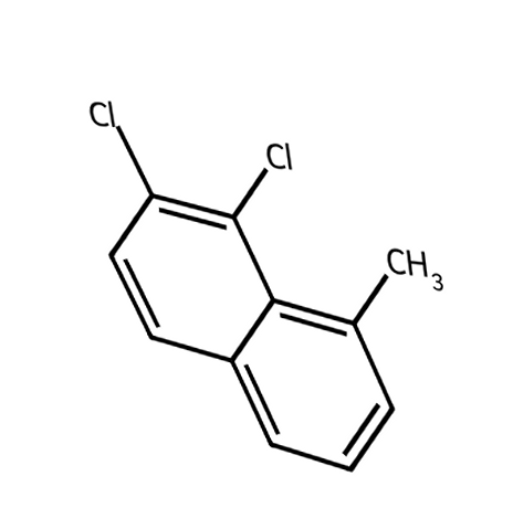 Cc1cccc2ccc(Cl)c(Cl)c12